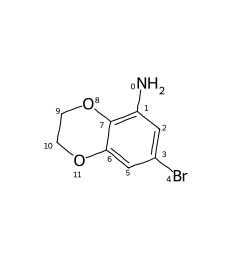 Nc1cc(Br)cc2c1OCCO2